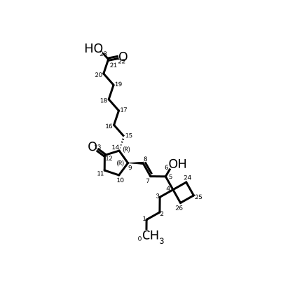 CCCCC1(C(O)C=C[C@H]2CCC(=O)[C@@H]2CCCCCCC(=O)O)CCC1